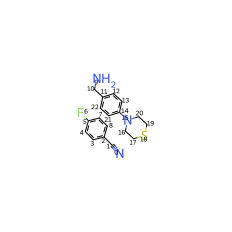 N#Cc1ccc(F)cc1.NCc1ccc(N2CCSCC2)cc1